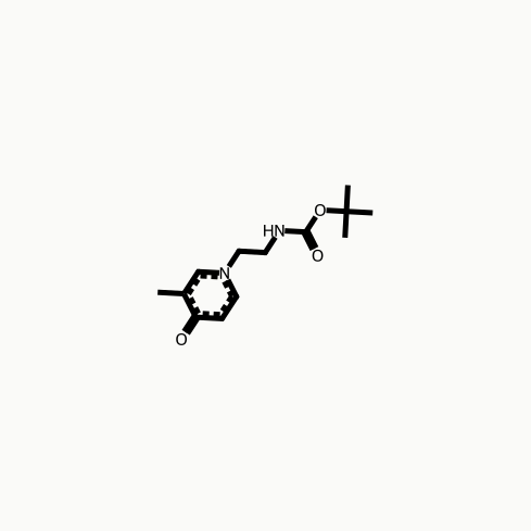 Cc1cn(CCNC(=O)OC(C)(C)C)ccc1=O